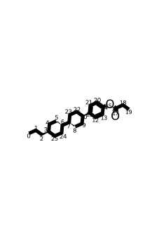 CCC[C@H]1CC[C@H]([C@H]2CC[C@H](c3ccc(OC(=O)CC)cc3)CC2)CC1